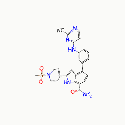 CS(=O)(=O)N1CC=C(c2cc3c(-c4cccc(Nc5ccnc(C#N)n5)c4)ccc(C(N)=O)c3[nH]2)CC1